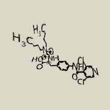 CCCCN(CCCC)S(=O)(=O)N[C@@H](Cc1ccc(NC(=O)c2c(Cl)cncc2Cl)cc1)C(=O)O